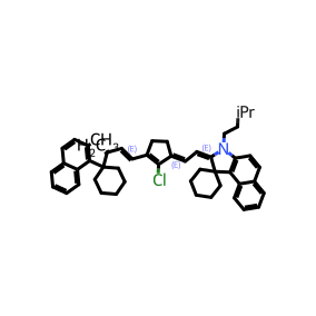 C=C(/C=C/C1=C(Cl)C(=C/C=C2/N(CCC(C)C)c3ccc4ccccc4c3C23CCCCC3)/CC1)C1(c2c(C)ccc3ccccc23)CCCCC1